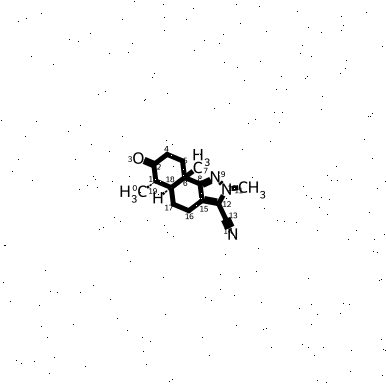 C[C@@H]1C(=O)CCC2(C)c3nn(C)c(C#N)c3CC[C@@H]12